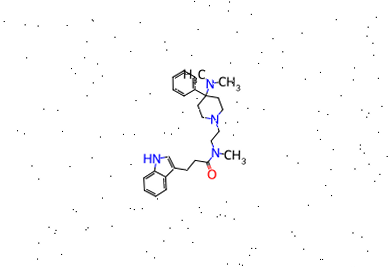 CN(CCN1CCC(c2ccccc2)(N(C)C)CC1)C(=O)CCc1c[nH]c2ccccc12